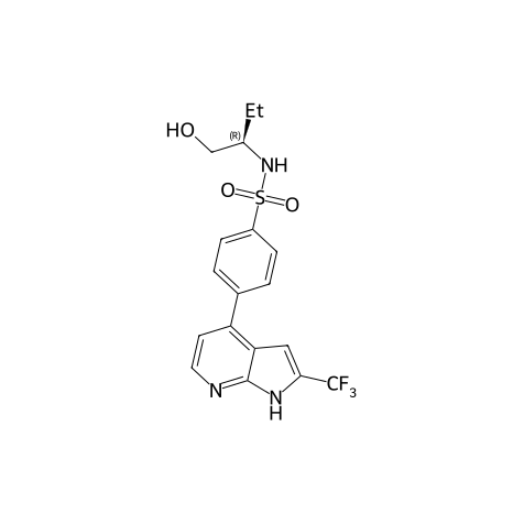 CC[C@H](CO)NS(=O)(=O)c1ccc(-c2ccnc3[nH]c(C(F)(F)F)cc23)cc1